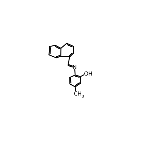 Cc1ccc(N=Cc2cccc3ccccc23)c(O)c1